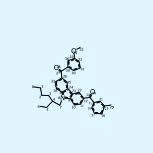 CCCCC(CC)Cn1c2ccc(C(=O)c3cccc(C)c3)cc2c2cc(C(=O)c3cccc(OC)c3)ccc21